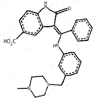 CN1CCN(Cc2cccc(NC(=C3C(=O)Nc4ccc(C(=O)O)cc43)c3ccccc3)c2)CC1